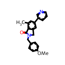 COc1ccc(CN2Cc3cc(-c4cccnc4)cc(C)c3C2=O)cc1